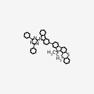 CC1(C)c2cc(-c3ccc4c(c3)c3ccccc3n4-c3nc(-c4ccccc4)nc(-c4ccccc4)n3)ccc2-c2ccc3c(c21)Sc1ccccc1S3